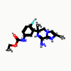 CCOC(=O)Nc1ccc(F)c(C2(C)Cn3cc(C)nc3C(N)=N2)c1